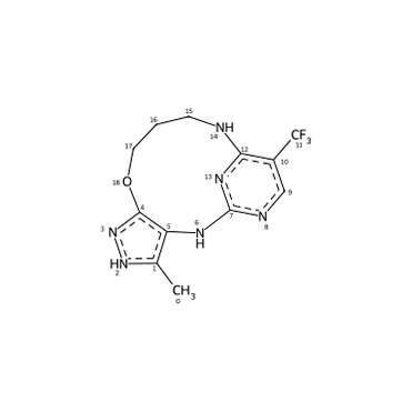 Cc1[nH]nc2c1Nc1ncc(C(F)(F)F)c(n1)NCCCO2